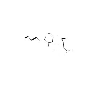 C[C@H]([C@@H]1O[C@H]1C[C@H]1CO[C@@H](C/C=C/C=O)[C@H](O)[C@@H]1O)[C@H](C)O